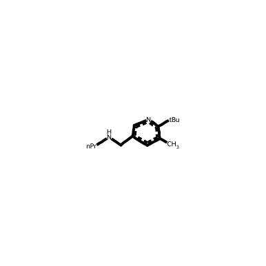 CCCNCc1cnc(C(C)(C)C)c(C)c1